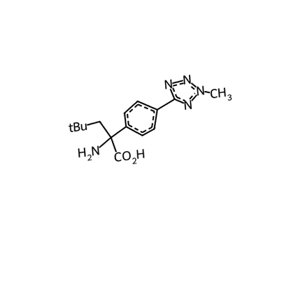 Cn1nnc(-c2ccc(C(N)(CC(C)(C)C)C(=O)O)cc2)n1